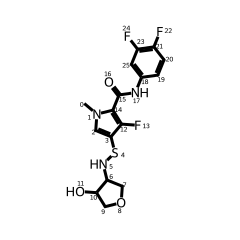 Cn1cc(SNC2COCC2O)c(F)c1C(=O)Nc1ccc(F)c(F)c1